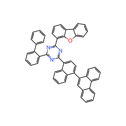 c1ccc(-c2ccccc2-c2nc(-c3ccc(-c4cc5ccccc5c5ccccc45)c4ccccc34)nc(-c3cccc4c3oc3ccccc34)n2)cc1